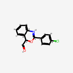 O=CC1OC(c2ccc(Cl)cc2)=Nc2ccccc21